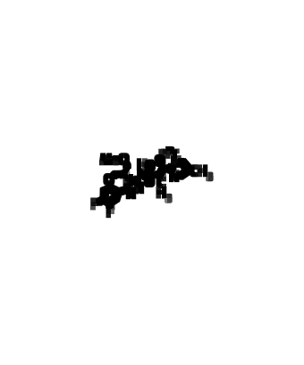 CCCO[C@@H](c1ncc(C)cn1)[C@H](C)S(=O)(=O)Nc1nnc2n1[C@H](COC)COc1cc(F)c(F)cc1-2